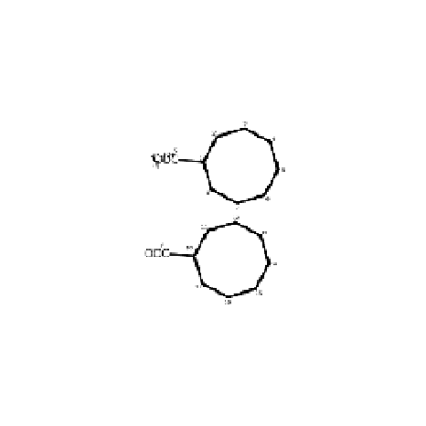 O=C([O-])C1CCCCCCC1.O=C([O-])C1CCCCCCC1.[Cd+2]